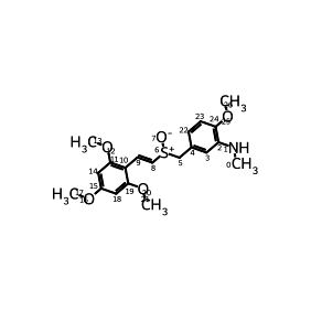 CNc1cc(C[S+]([O-])C=Cc2c(OC)cc(OC)cc2OC)ccc1OC